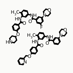 Cc1ccc(NC(=O)c2cc(F)cc(N3CCOCC3)c2)cc1NC(=O)c1cccc(OC2CCNCC2)c1.Cc1ccc(NC(=O)c2cccc(N3CCOCC3)c2)cc1NC(=O)c1ccc(OCc2ccccn2)cc1